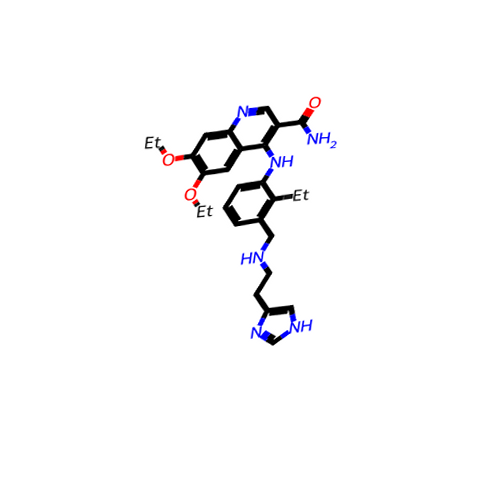 CCOc1cc2ncc(C(N)=O)c(Nc3cccc(CNCCc4c[nH]cn4)c3CC)c2cc1OCC